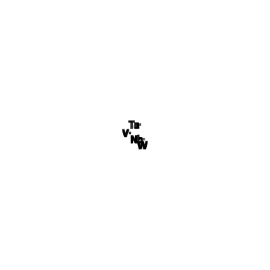 [Nb].[Ta].[V].[W]